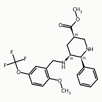 COC(=O)[C@H]1CN[C@@H](c2ccccc2)[C@@H](NCc2cc(OC(F)(F)F)ccc2OC)C1